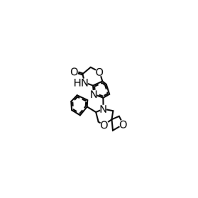 O=C1COc2ccc(N3CC4(COC4)OCC3c3ccccc3)nc2N1